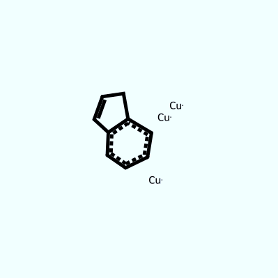 C1=Cc2ccccc2C1.[Cu].[Cu].[Cu]